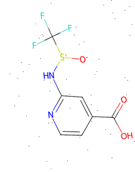 O=C(O)c1ccnc(N[S+]([O-])C(F)(F)F)c1